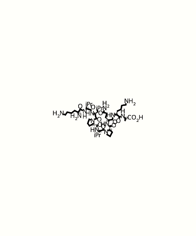 CC(C)C[C@H](NC(=O)[C@@H](NC(=O)[C@@H](N)CCCCN)C(C)C)C(=O)N1CCC[C@H]1C(=O)N[C@H](C(=O)N1CCC[C@H]1C(=O)N[C@@H](CCC(N)=O)C(=O)N[C@@H](CCCCN)C(=O)N[C@@H](C)C(=O)O)C(C)C